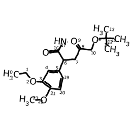 CCOc1cc(C(CC(=O)COC(C)(C)C)C([NH])=O)ccc1OC